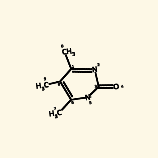 CC1=NC(=O)[N]C(C)=C1C